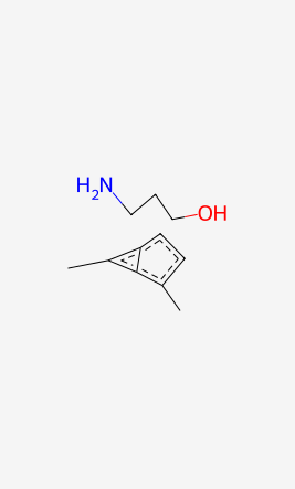 Cc1ccc2c(C)c1-2.NCCCO